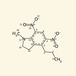 CCCc1c([N+](=O)[O-])cc([N+](=O)[O-])c2c1CCN2C